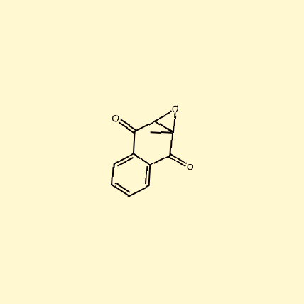 CC12OC1C(=O)c1ccccc1C2=O